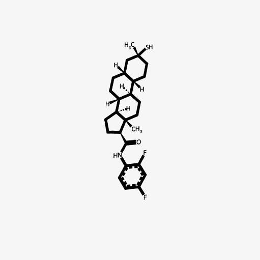 C[C@@]1(S)CC[C@H]2[C@H](CC[C@@H]3[C@@H]2CC[C@]2(C)[C@@H](C(=O)Nc4ccc(F)cc4F)CC[C@@H]32)C1